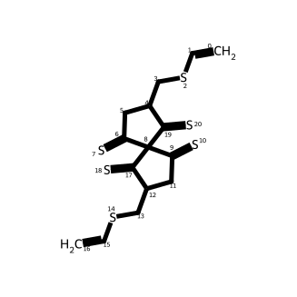 C=CSCC1CC(=S)C2(C(=S)CC(CSC=C)C2=S)C1=S